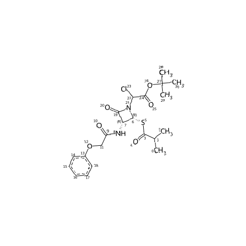 CC(C)C(=O)S[C@@H]1[C@H](NC(=O)COc2ccccc2)C(=O)N1C(Cl)C(=O)OC(C)(C)C